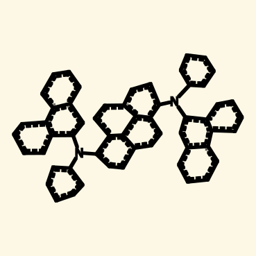 c1ccc(N(c2cc3ccccc3c3ccccc23)c2ccc3ccc4c(N(c5ccccc5)c5cc6ccccc6c6ccccc56)ccc5ccc2c3c54)cc1